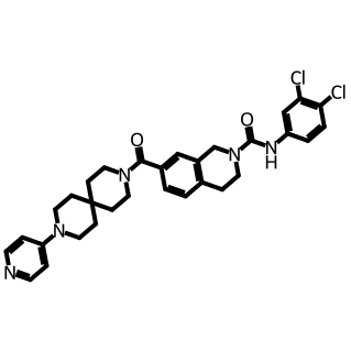 O=C(Nc1ccc(Cl)c(Cl)c1)N1CCc2ccc(C(=O)N3CCC4(CC3)CCN(c3ccncc3)CC4)cc2C1